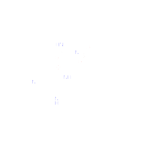 Cc1ccc(S(=O)(=O)N2C=CNC(=O)[C@H]2CC(=O)N[C@@]2(Cc3cccnc3)CCNCC2(C)C)cc1